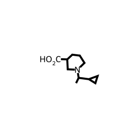 CC(C1CC1)N1CCCC(C(=O)O)C1